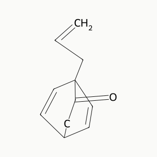 C=CCC12C=CC(C=C1)CC2=O